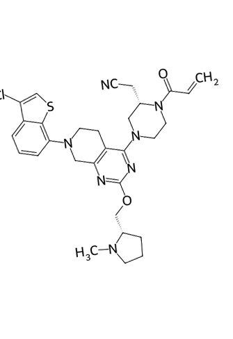 C=CC(=O)N1CCN(c2nc(OC[C@@H]3CCCN3C)nc3c2CCN(c2cccc4c(Cl)csc24)C3)C[C@@H]1CC#N